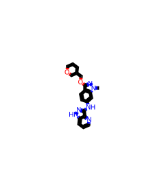 Cn1nc(OCC2CCCOC2)c2ccc(Nc3n[nH]c4cccnc34)cc21